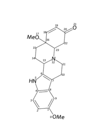 COc1ccc2[nH]c3c(c2c1)CCN1C3CCC2(OC)C=CC(=O)CC12